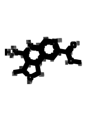 COC(=O)c1cc2c3c(c(N)nc2cn1)C(C)OC3